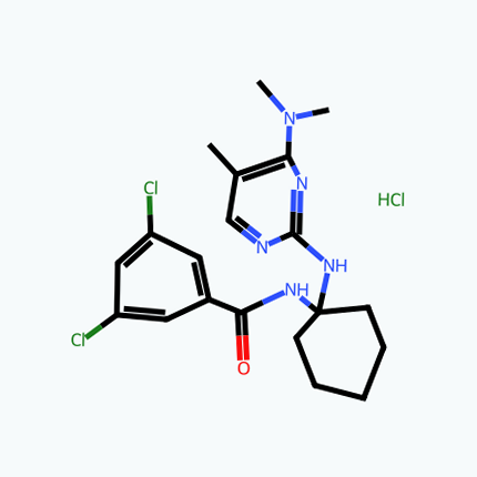 Cc1cnc(NC2(NC(=O)c3cc(Cl)cc(Cl)c3)CCCCC2)nc1N(C)C.Cl